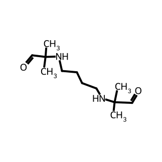 CC(C)(C=O)NCCCCNC(C)(C)C=O